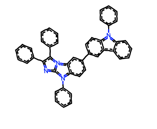 c1ccc(-c2nc3n(-c4ccccc4)c4ccc(-c5ccc6c(c5)c5ccccc5n6-c5ccccc5)cc4n3c2-c2ccccc2)cc1